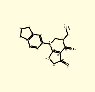 CCN1CN(c2ccc3c(c2)CCC3)C2=C(C(=O)CO2)C1=O